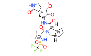 COCC(=O)[C@H](C[C@@H]1CCNC1=O)NC(=O)[C@@H]1[C@H]2CCC[C@H]2CN1C(=O)[C@@H](NS(=O)(=O)C(F)(F)F)C(C)(C)C